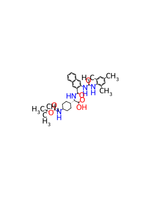 Cc1cc(C)c(NC(=O)Nc2cc3ccccc3cc2C(=O)NC(C(=O)O)[C@H]2CC[C@H](NC(=O)OC(C)(C)C)CC2)c(C)c1